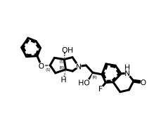 O=C1CCc2c(ccc([C@@H](O)CN3C[C@H]4C[C@H](Oc5ccccc5)C[C@@]4(O)C3)c2F)N1